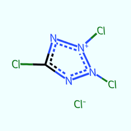 Clc1nn(Cl)[n+](Cl)n1.[Cl-]